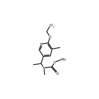 Cc1cc(C(C)N(C)C(=O)OC(C)(C)C)cnc1OCC(F)(F)F